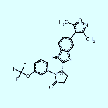 Cc1noc(C)c1-c1ccc2[nH]c([C@@H]3CCC(=O)N3c3cccc(OC(F)(F)F)c3)nc2c1